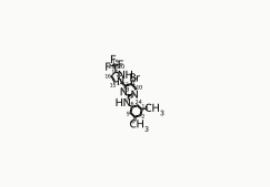 Cc1cc(C)cc(Nc2ncc(Br)c(N3C=CC(C(F)(F)F)N3)n2)c1